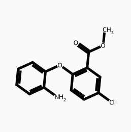 COC(=O)c1cc(Cl)ccc1Oc1ccccc1N